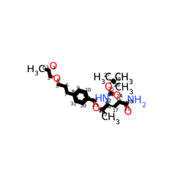 CC(=O)COCCCc1ccc(CO[C@H](C)[C@H](CCC(N)=O)NC(=O)OC(C)(C)C)cc1